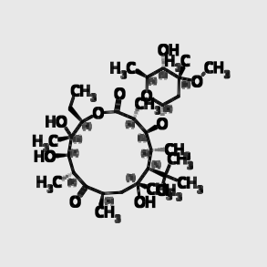 CC[C@H]1OC(=O)[C@H](C)[C@@H](O[C@H]2C[C@@](C)(OC)[C@@H](O)[C@H](C)O2)[C@H](C)[C@@H](C(C)(C)C)[C@](C)(O)C[C@@H](C)C(=O)[C@H](C)[C@@H](O)[C@]1(C)O